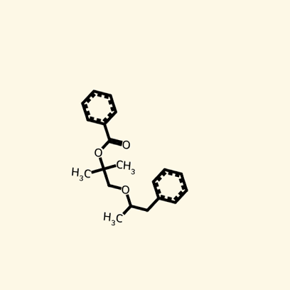 CC(Cc1ccccc1)OCC(C)(C)OC(=O)c1ccccc1